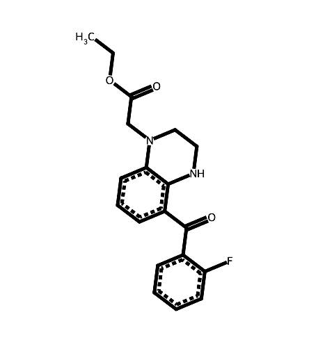 CCOC(=O)CN1CCNc2c(C(=O)c3ccccc3F)cccc21